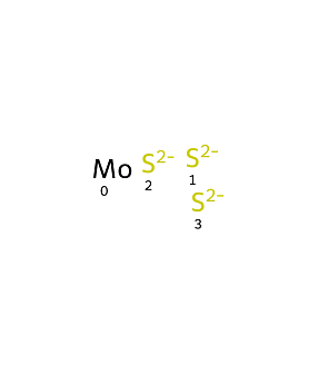 [Mo].[S-2].[S-2].[S-2]